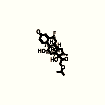 CC(C)OCC(=O)[C@@]1(O)[C@H](C)C[C@H]2[C@@H]3C[C@H](F)C4=CC(=O)C=C[C@]4(C)[C@@]3(Br)[C@@H](O)C[C@@]21C